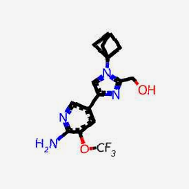 Nc1ncc(-c2cn(C34CC(C3)C4)c(CO)n2)cc1OC(F)(F)F